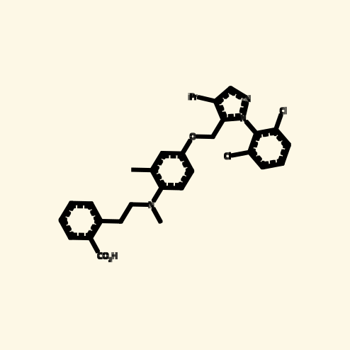 Cc1cc(OCc2c(C(C)C)cnn2-c2c(Cl)cccc2Cl)ccc1N(C)CCc1ccccc1C(=O)O